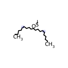 CCCCC/C=C\CCCC(CCC/C=C\CCCCC)OSI